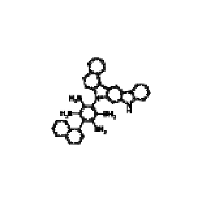 Bc1c(B)c(-n2c3cc4[nH]c5ccccc5c4cc3c3c4ccccc4ccc32)c(B)c(B)c1-c1cccc2ccccc12